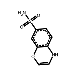 NS(=O)(=O)c1ccc2c(c1)OC=CN2